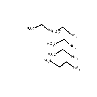 NCC(=O)O.NCC(=O)O.NCC(=O)O.NCC(=O)O.NCCN